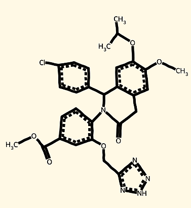 COC(=O)c1ccc(N2C(=O)Cc3cc(OC)c(OC(C)C)cc3C2c2ccc(Cl)cc2)c(OCc2nn[nH]n2)c1